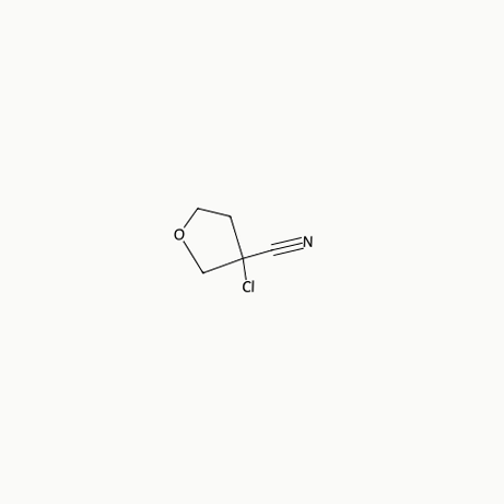 N#CC1(Cl)CCOC1